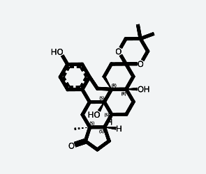 CC1(C)COC2(CC[C@@]34Cc5cc(O)ccc5C5C[C@]6(C)C(=O)CC[C@H]6[C@H](CC[C@@]3(O)C2)[C@]54O)OC1